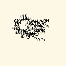 C/C=C1\NC(=O)[C@H](Cc2ccccc2)NC(=O)[C@@H](C(C)C)NC(=O)[C@@H]([C@@H](C)CC)NC(=O)[C@H](NC(=O)[C@H](NC(=O)[C@H](CCCCCN)CC(=O)[C@H]2CCCN2C(=O)[C@H](NC(=O)[C@@H](NC(=O)[C@H]([C@@H](C)O)N(C(=O)[C@H](NC(=O)CCCC(C)C)C(C)C)C(C)C)C(C)C)C(C)C)[C@@H](C)CC)[C@H](C)OC(=O)[C@H](C(C)C)NC1=O